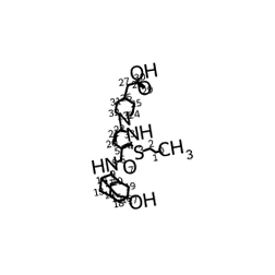 CCCSC1=C(C(=O)NC2C3CC4CC2CC(O)(C4)C3)C=CC(N2CCC(CC(=O)O)CC2)N1